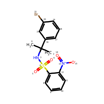 CC(C)(NS(=O)(=O)c1ccccc1[N+](=O)[O-])c1cccc(Br)c1